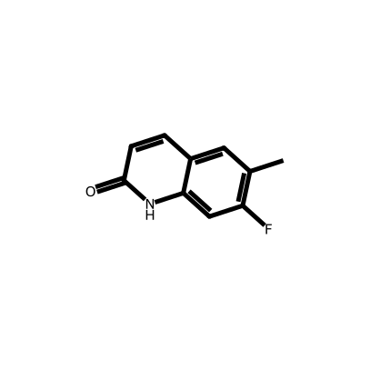 Cc1cc2ccc(=O)[nH]c2cc1F